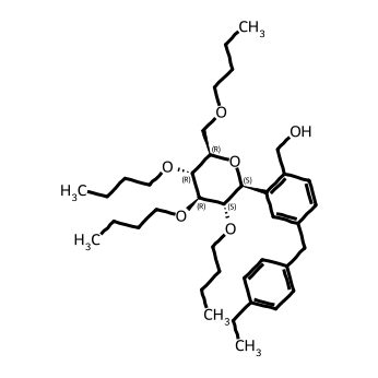 CCCCOC[C@H]1O[C@@H](c2cc(Cc3ccc(CC)cc3)ccc2CO)[C@H](OCCCC)[C@@H](OCCCC)[C@@H]1OCCCC